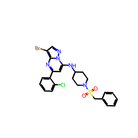 O=S(=O)(Cc1ccccc1)N1CCC(Nc2cc(-c3ccccc3Cl)nc3c(Br)cnn23)CC1